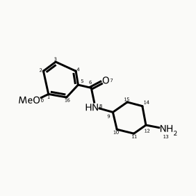 COc1cccc(C(=O)NC2CCC(N)CC2)c1